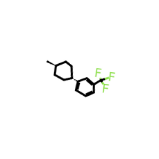 C[C@H]1CC[C@H](c2cccc(C(F)(F)F)c2)CC1